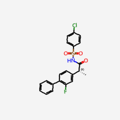 C[C@@H](C(=O)NS(=O)(=O)c1ccc(Cl)cc1)c1ccc(-c2ccccc2)c(F)c1